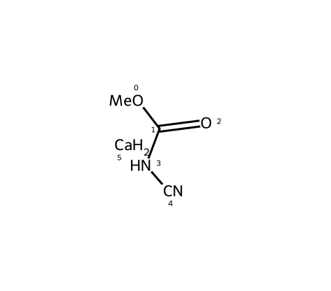 COC(=O)NC#N.[CaH2]